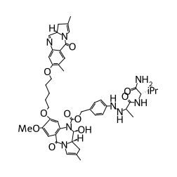 COc1cc2c(cc1OCCCCCOc1cc3c(cc1C)C(=O)N1C=C(C)C[C@H]1C=N3)N(C(=O)OCc1ccc(NNC(C)C(=O)N[C@H](C(N)=O)C(C)C)cc1)[C@@H](O)[C@@H]1CC(C)=CN1C2=O